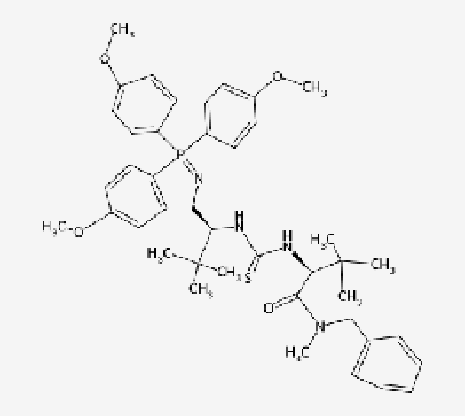 COc1ccc(P(=NC[C@@H](NC(=S)N[C@H](C(=O)N(C)Cc2ccccc2)C(C)(C)C)C(C)(C)C)(c2ccc(OC)cc2)c2ccc(OC)cc2)cc1